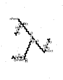 C=C(C)C(=O)OCNC(=O)OC(CCCCCCCC)C(C)CCCCCCCC(=O)OCC(COC(=O)CCCCCCCC(OCC)C(C/C=C/CCCCC)OC(=O)NCOC(=O)C(=C)C)OC(=O)CCCCCCC/C=C/CC(OC(=O)NCOC(=O)C(=C)C)C(CCCCC)OCC